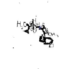 C=CC(C1CC1)S(=O)(=O)NC(=O)/C=C/c1c(C)nn(C)c1-n1ccc2cc(Cl)ccc21